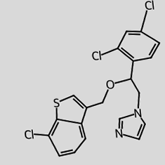 Clc1ccc(C(Cn2ccnc2)OCc2csc3c(Cl)cccc23)c(Cl)c1